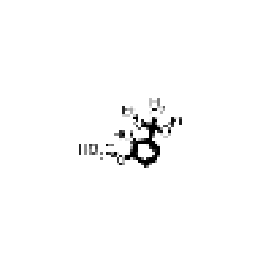 CCOC(C)(OCC)c1cccc(OC(=O)O)c1O